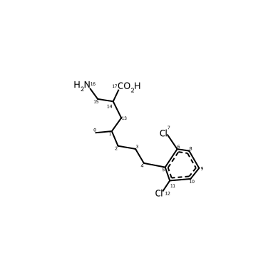 CC(CCCc1c(Cl)cccc1Cl)CC(CN)C(=O)O